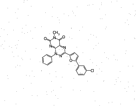 Cn1c(=O)nc2n(-c3ccccc3)nc(-c3ccc(-c4cccc(Cl)c4)o3)nc-2c1=O